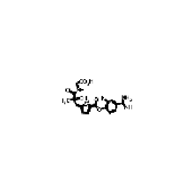 CC(C)(Cc1ccc(C(=O)Oc2ccc(C(=N)N)cc2F)s1)C(=O)NCC(=O)O